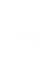 CN1CC[C@H](F)[C@](C)(CO)C1